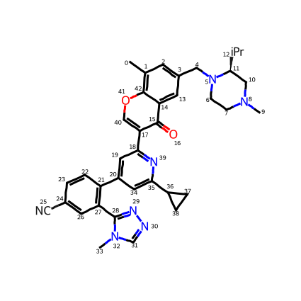 Cc1cc(CN2CCN(C)C[C@@H]2C(C)C)cc2c(=O)c(-c3cc(-c4ccc(C#N)cc4-c4nncn4C)cc(C4CC4)n3)coc12